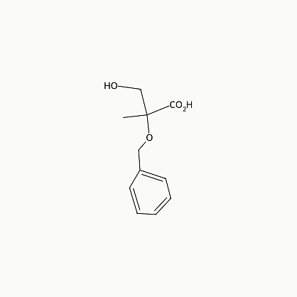 CC(CO)(OCc1ccccc1)C(=O)O